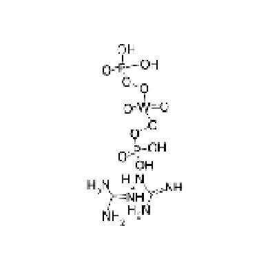 N=C(N)N.N=C(N)N.O=P(O)(O)O[O][W](=[O])(=[O])[O]OP(=O)(O)O